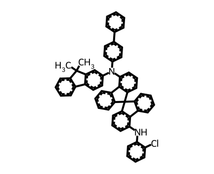 CC1(C)c2ccccc2-c2ccc(N(c3ccc(-c4ccccc4)cc3)c3cccc4c3-c3ccccc3C43c4ccccc4-c4c(Nc5ccccc5Cl)cccc43)cc21